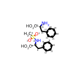 CS(=O)(=O)N[C@H](Cc1ccccc1)C(=O)O.N[C@H](Cc1ccccc1)C(=O)O